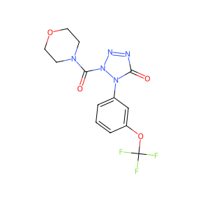 O=C(N1CCOCC1)n1nnc(=O)n1-c1cccc(OC(F)(F)F)c1